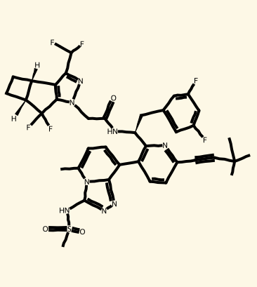 Cc1ccc(-c2ccc(C#CC(C)(C)C)nc2[C@H](Cc2cc(F)cc(F)c2)NC(=O)Cn2nc(C(F)F)c3c2C(F)(F)[C@@H]2CC[C@H]32)c2nnc(NS(C)(=O)=O)n12